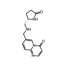 O=C1CC[C@@H](CNCc2ccc3nccc(=O)n3c2)N1